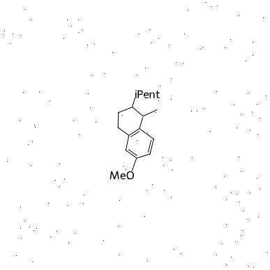 CCCC(C)C1CCc2cc(OC)ccc2C1C